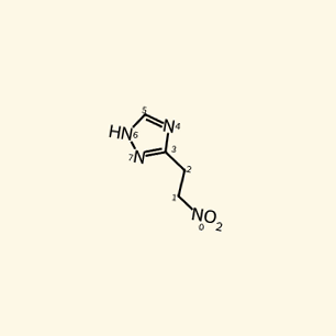 O=[N+]([O-])CCc1nc[nH]n1